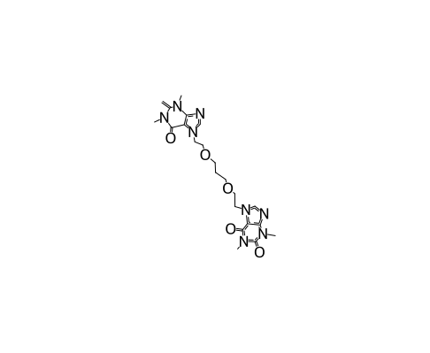 C=C1N(C)C(=O)c2c(ncn2CCOCCCOCCn2cnc3c2c(=O)n(C)c(=O)n3C)N1C